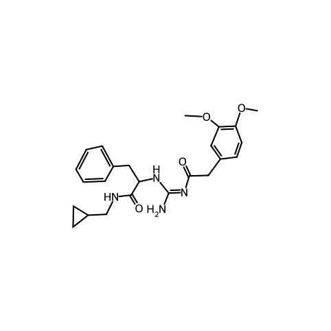 COc1ccc(CC(=O)N=C(N)NC(Cc2ccccc2)C(=O)NCC2CC2)cc1OC